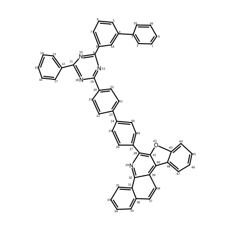 c1ccc(-c2cccc(-c3nc(-c4ccccc4)nc(-c4ccc(-c5ccc(-c6nc7c8ccccc8ccc7c7c6oc6ccccc67)cc5)cc4)n3)c2)cc1